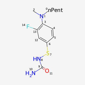 CCCCCN(C)c1ccc(SNC(N)=O)cc1F